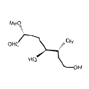 CO[C@@H](C=O)C[C@H](O)[C@H](O)CO